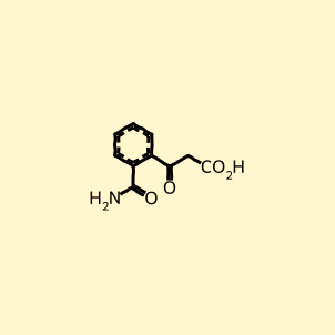 NC(=O)c1ccccc1C(=O)CC(=O)O